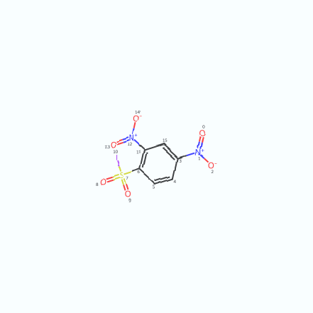 O=[N+]([O-])c1ccc(S(=O)(=O)I)c([N+](=O)[O-])c1